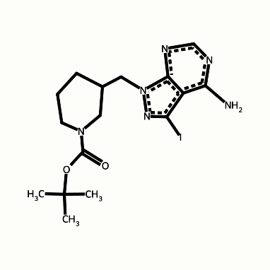 CC(C)(C)OC(=O)N1CCCC(Cn2nc(I)c3c(N)ncnc32)C1